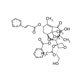 CC(=O)O[C@@]1([C@@H]2/C(C)=C(/O)C(=O)C3=C(C)[C@@H](OC(=O)/C=C/c4ccccc4)C[C@@](O)([C@H]2OC(=O)c2ccccc2)C3(C)C)CO[C@@H]1CCO